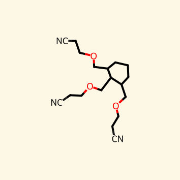 N#CCCOCC1CCCC(COCCC#N)C1COCCC#N